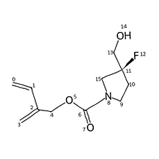 C=CC(=C)COC(=O)N1CC[C@@](F)(CO)C1